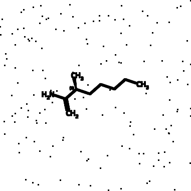 C=C(N)[C@@H](C)CCCCC